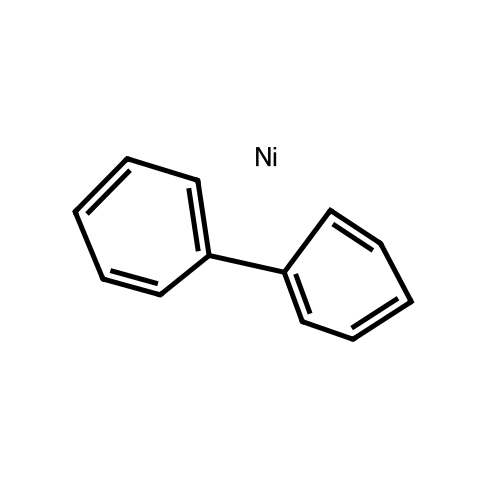 [Ni].c1ccc(-c2ccccc2)cc1